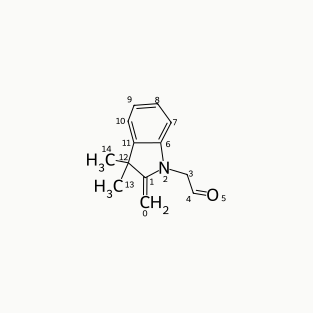 C=C1N(CC=O)c2ccccc2C1(C)C